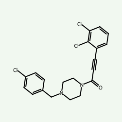 O=C(C#Cc1cccc(Cl)c1Cl)N1CCN(Cc2ccc(Cl)cc2)CC1